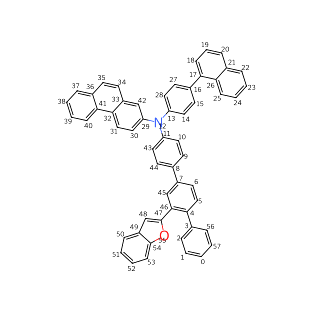 c1ccc(-c2ccc(-c3ccc(N(c4ccc(-c5cccc6ccccc56)cc4)c4ccc5c(ccc6ccccc65)c4)cc3)cc2-c2cc3ccccc3o2)cc1